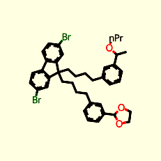 CCCOC(C)c1cccc(CCCCC2(CCCCc3cccc(C4OCCO4)c3)c3cc(Br)ccc3-c3ccc(Br)cc32)c1